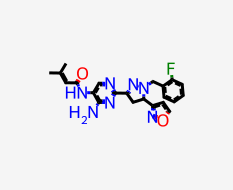 CC(C)=CC(=O)Nc1cnc(C2=NN(Cc3ccccc3F)C(c3ccon3)C2)nc1N